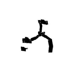 C=[CH][Sn+]([CH2]CCC)[CH2]CCC.[Br-]